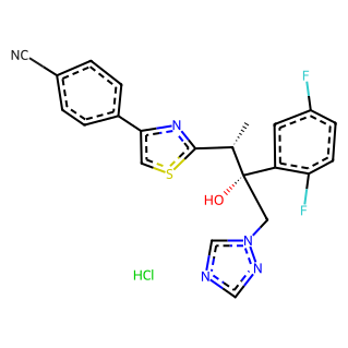 C[C@@H](c1nc(-c2ccc(C#N)cc2)cs1)[C@](O)(Cn1cncn1)c1cc(F)ccc1F.Cl